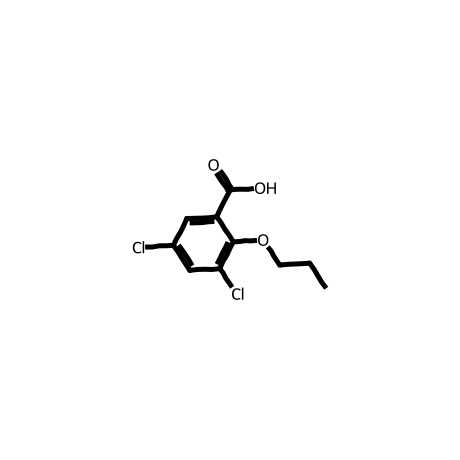 CCCOc1c(Cl)cc(Cl)cc1C(=O)O